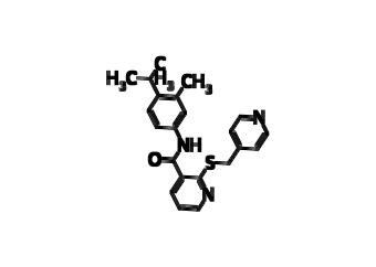 Cc1cc(NC(=O)c2cccnc2SCc2ccncc2)ccc1C(C)C